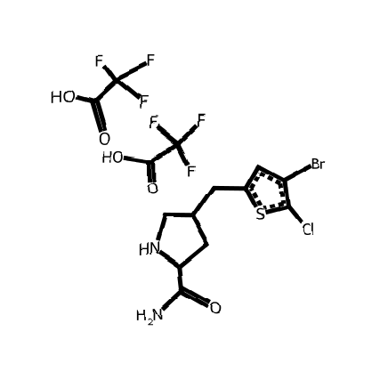 NC(=O)C1CC(Cc2cc(Br)c(Cl)s2)CN1.O=C(O)C(F)(F)F.O=C(O)C(F)(F)F